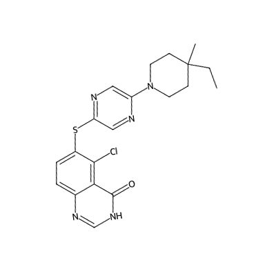 CCC1(C)CCN(c2cnc(Sc3ccc4nc[nH]c(=O)c4c3Cl)cn2)CC1